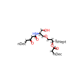 CCCCCCCCCCCC(=O)CC(=O)N[C@@H](CO)COCC[C@H](CCCCCCC)OC(=O)CCCCCCCCCCC